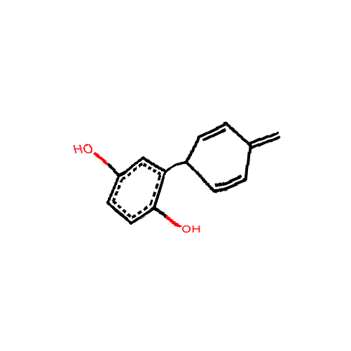 C=C1C=CC(c2cc(O)ccc2O)C=C1